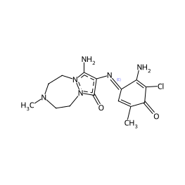 CC1=C/C(=N\c2c(N)n3n(c2=O)CCN(C)CC3)C(N)=C(Cl)C1=O